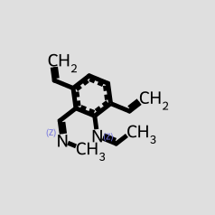 C=Cc1ccc(C=C)c(/N=C\C)c1/C=N\C